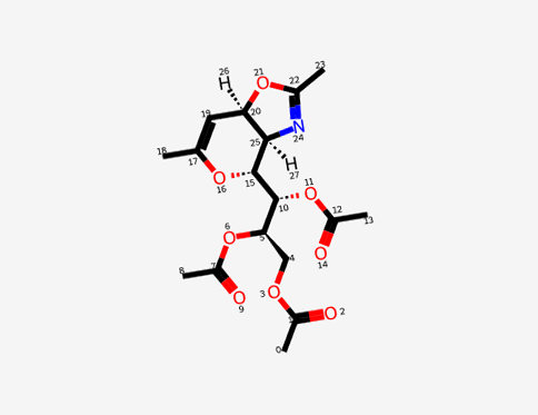 CC(=O)OC[C@@H](OC(C)=O)[C@@H](OC(C)=O)[C@@H]1OC(C)=C[C@H]2OC(C)=N[C@@H]12